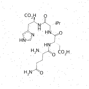 CC(C)[C@H](NC(=O)[C@H](CC(=O)O)NC(=O)[C@@H](N)CCC(N)=O)C(=O)N[C@@H](Cc1c[nH]cn1)C(=O)O